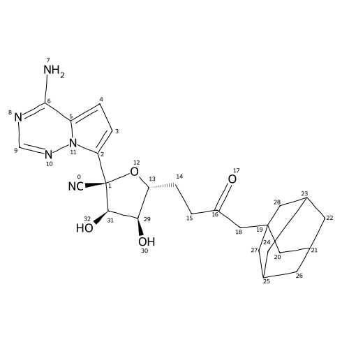 N#C[C@@]1(c2ccc3c(N)ncnn23)O[C@H](CCC(=O)CC23CC4CC(CC(C4)C2)C3)[C@@H](O)[C@H]1O